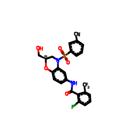 N#Cc1cccc(S(=O)(=O)N2C[C@H](CO)Oc3ccc(NC(=O)c4c(F)cccc4C(F)(F)F)cc32)c1